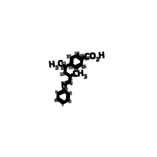 CC(C=Nc1ccccc1)CC(C)c1ccc(C(=O)O)cc1